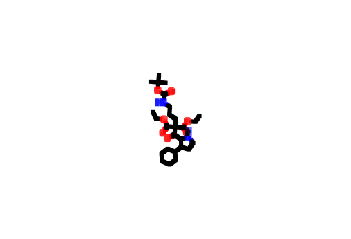 CCOC(=O)C(CCCNC(=O)OC(C)(C)C)(C(=O)OCC)C(=O)C1NCCC1C1CCCCC1